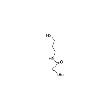 CC(C)(C)OC(=O)NCCCS